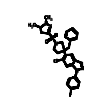 CC1CC(S(=O)(=O)N2CCC(Cc3ccccc3)(c3cc4cnn(-c5ccc(F)cc5)c4cc3Cl)C2)=NN1C